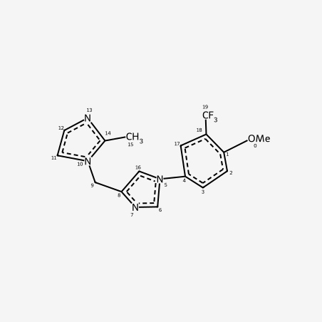 COc1ccc(-n2cnc(Cn3ccnc3C)c2)cc1C(F)(F)F